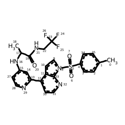 Cc1ccc(S(=O)(=O)n2ccc3c(-c4cc(NC(C)C(=O)NCC(F)(F)F)ccn4)ccnc32)cc1